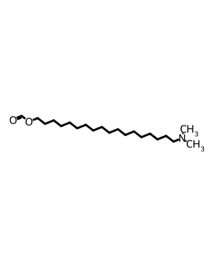 CN(C)CCCCCCCCCCCCCCCCCCOC=O